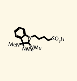 CNC1N(CCCCS(=O)(=O)O)c2ccccc2C1(NC)NC